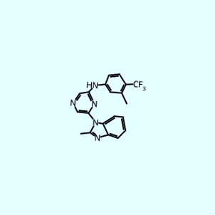 Cc1cc(Nc2cncc(-n3c(C)nc4ccccc43)n2)ccc1C(F)(F)F